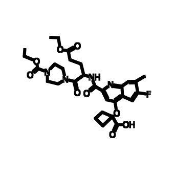 CCOC(=O)CCC(NC(=O)c1cc(OC2(C(=O)O)CCC2)c2cc(F)c(C)cc2n1)C(=O)N1CCN(C(=O)OCC)CC1